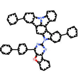 c1ccc(-c2ccc(-c3nc(-n4c5ccc(-c6ccccc6)cc5c5c6c7ccccc7n7c8ccc(-c9ccccc9)cc8c(cc54)c67)nc4c3oc3ccccc34)cc2)cc1